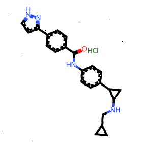 Cl.O=C(Nc1ccc(C2CC2NCC2CC2)cc1)c1ccc(-c2cc[nH]n2)cc1